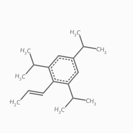 [CH2]C=Cc1c(C(C)C)cc(C(C)C)cc1C(C)C